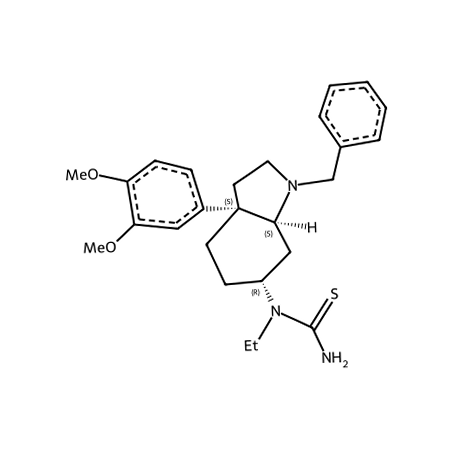 CCN(C(N)=S)[C@@H]1CC[C@@]2(c3ccc(OC)c(OC)c3)CCN(Cc3ccccc3)[C@H]2C1